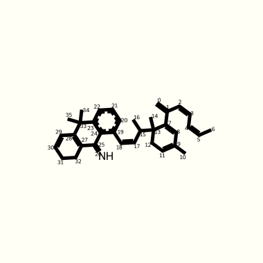 C=C(/C=C\C=C/C)C1=CC(C)=CCC1(C)C(C)/C=C\c1cccc2c1C(=N)C1=C(C=CCC1)C2(C)C